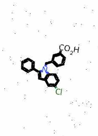 O=C(O)c1cccc(Cn2c(-c3ccccc3)cc3cc(Cl)ccc32)c1